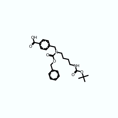 CC(C)(C)OC(=O)NCCCCN(Cc1ccc(C(=O)O)cc1)C(=O)OCc1ccccc1